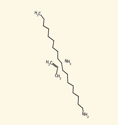 C=CC.CCCCCCCCCCCCCCCCCCN.N